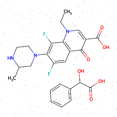 CCn1cc(C(=O)O)c(=O)c2cc(F)c(N3CCNC(C)C3)c(F)c21.O=C(O)C(O)c1ccccc1